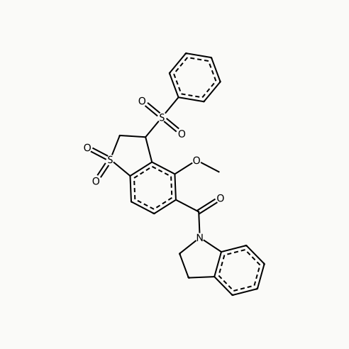 COc1c(C(=O)N2CCc3ccccc32)ccc2c1C(S(=O)(=O)c1ccccc1)CS2(=O)=O